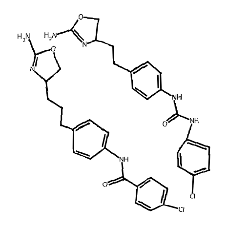 NC1=NC(CCCc2ccc(NC(=O)c3ccc(Cl)cc3)cc2)CO1.NC1=NC(CCc2ccc(NC(=O)Nc3ccc(Cl)cc3)cc2)CO1